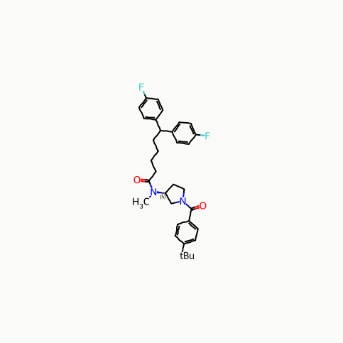 CN(C(=O)CCCCC(c1ccc(F)cc1)c1ccc(F)cc1)[C@H]1CCN(C(=O)c2ccc(C(C)(C)C)cc2)C1